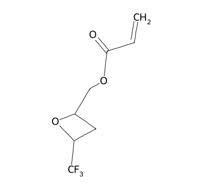 C=CC(=O)OCC1CC(C(F)(F)F)O1